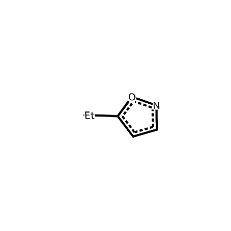 C[CH]c1ccno1